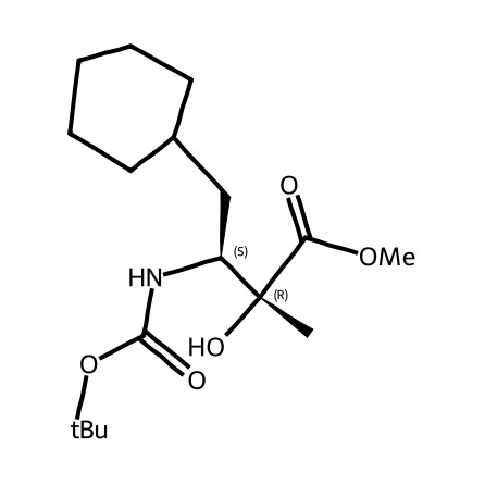 COC(=O)[C@](C)(O)[C@H](CC1CCCCC1)NC(=O)OC(C)(C)C